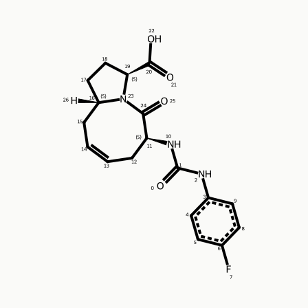 O=C(Nc1ccc(F)cc1)N[C@H]1CC=CC[C@@H]2CC[C@@H](C(=O)O)N2C1=O